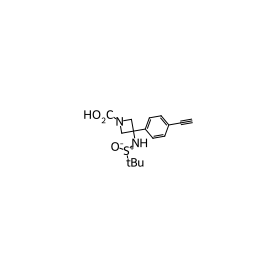 C#Cc1ccc(C2(N[S+]([O-])C(C)(C)C)CN(C(=O)O)C2)cc1